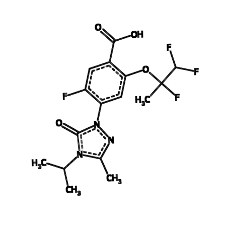 Cc1nn(-c2cc(OC(C)(F)C(F)F)c(C(=O)O)cc2F)c(=O)n1C(C)C